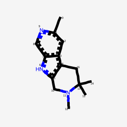 Cc1cc2c3c([nH]c2cn1)CN(C)C(C)(C)C3